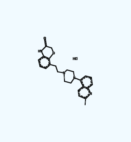 Cc1ccc2c(N3CCN(CCc4cccc5c4OCC(=O)N5)CC3)cccc2n1.Cl